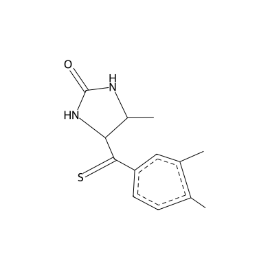 Cc1ccc(C(=S)C2NC(=O)NC2C)cc1C